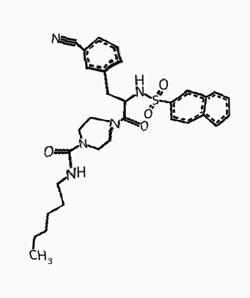 CCCCCCNC(=O)N1CCN(C(=O)C(Cc2cccc(C#N)c2)NS(=O)(=O)c2ccc3ccccc3c2)CC1